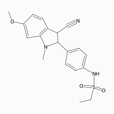 CCS(=O)(=O)Nc1ccc(C2C(C#N)c3ccc(OC)cc3N2C)cc1